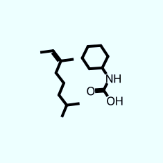 CC=C(C)CCCC(C)C.O=C(O)NC1CCCCC1